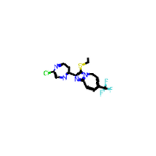 CCSc1c(C2=NC=C(Cl)N=CC2)nc2n1CC=C(C(F)(F)F)C=C2